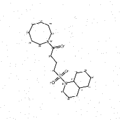 O=C(CCCS(=O)(=O)N1CCCC2CCCCC21)N1CCCCCCC1